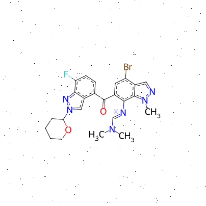 CN(C)/C=N/c1c(C(=O)c2ccc(F)c3nn(C4CCCCO4)cc23)cc(Br)c2cnn(C)c12